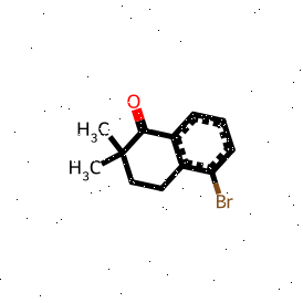 CC1(C)CCc2c(Br)cccc2C1=O